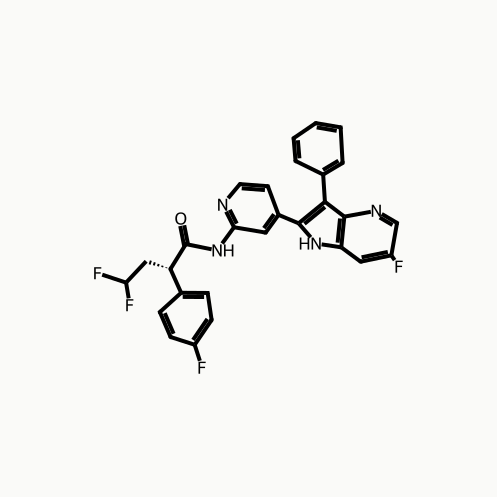 O=C(Nc1cc(-c2[nH]c3cc(F)cnc3c2-c2ccccc2)ccn1)[C@@H](CC(F)F)c1ccc(F)cc1